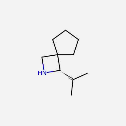 CC(C)[C@@H]1NCC12CCCC2